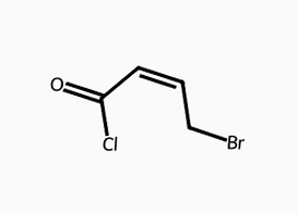 O=C(Cl)/C=C\CBr